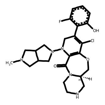 CN1CC2CN(N3CC(c4c(O)cccc4F)=C(Cl)C4=C3C(=O)N3CCNC[C@@H]3CO4)CC2C1